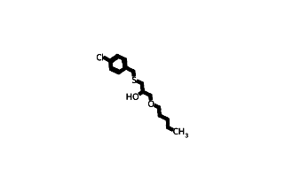 CCCCCOCC(O)CSCc1ccc(Cl)cc1